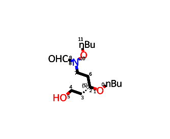 CCCCO[C@H](CCO)CCN(C=O)OCCCC